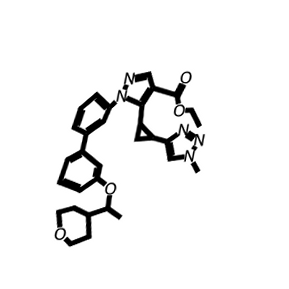 CCOC(=O)c1cnn(-c2cccc(-c3cccc(OC(C)C4CCOCC4)c3)c2)c1C1CC1c1cn(C)nn1